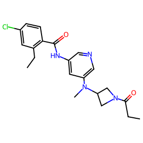 CCC(=O)N1CC(N(C)c2cncc(NC(=O)c3ccc(Cl)cc3CC)c2)C1